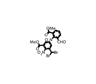 COC(=O)c1cccc(C(Br)Br)c1[N+](=O)[O-].COC(=O)c1cccc(C=O)c1[N+](=O)[O-]